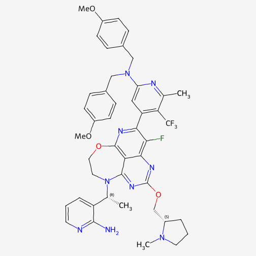 COc1ccc(CN(Cc2ccc(OC)cc2)c2cc(-c3nc4c5c(nc(OC[C@@H]6CCCN6C)nc5c3F)N([C@H](C)c3cccnc3N)CCO4)c(C(F)(F)F)c(C)n2)cc1